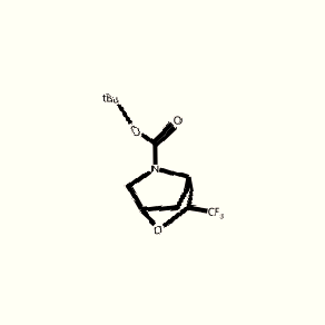 CC(C)(C)OC(=O)N1CC2CC1C(C(F)(F)F)O2